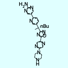 CCCC[C@](C)(c1ccc(-c2cnc(N)nc2)nc1)c1noc(-c2cnc(N3CCNCC3)cn2)n1